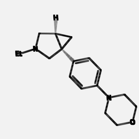 CCN1C[C@H]2C[C@@]2(c2ccc(N3CCOCC3)cc2)C1